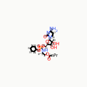 CCCC(=O)OC[C@H](C)NP(=O)(OC[C@H]1O[C@@H](n2ccc(N)nc2=O)[C@](C)(O)[C@@H]1O)Oc1ccccc1